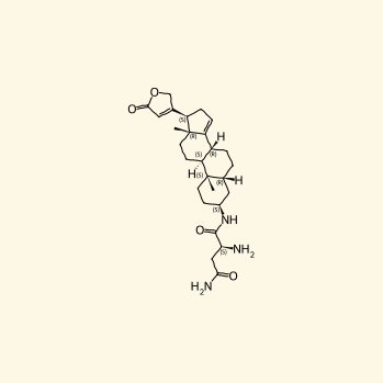 C[C@]12CC[C@H](NC(=O)[C@@H](N)CC(N)=O)C[C@H]1CC[C@H]1C3=CC[C@H](C4=CC(=O)OC4)[C@@]3(C)CC[C@@H]12